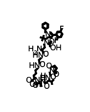 CC(NC(=O)[C@@H](NC(=O)CN1C(=O)C=CC1=O)C(C)C)C(=O)NC(CCCCNC(=O)CCNC(=O)C(N)CCN(C(=O)CO)C(c1cc(-c2cc(F)ccc2F)cn1Cc1ccccc1)C(C)(C)C)C(=O)O